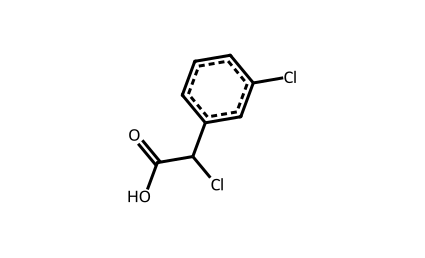 O=C(O)C(Cl)c1cccc(Cl)c1